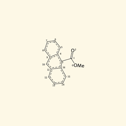 COC(=O)c1c2c[c]ccc2cc2ccccc12